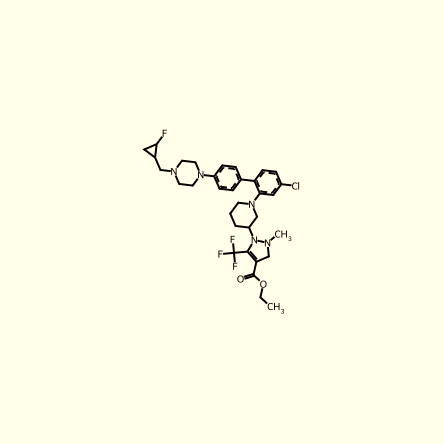 CCOC(=O)C1=C(C(F)(F)F)N(C2CCCN(c3cc(Cl)ccc3-c3ccc(N4CCN(CC5CC5F)CC4)cc3)C2)N(C)C1